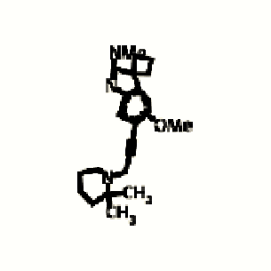 CNC1=Nc2cc(C#CCN3CCCCC3(C)C)c(OC)cc2C12CCC2